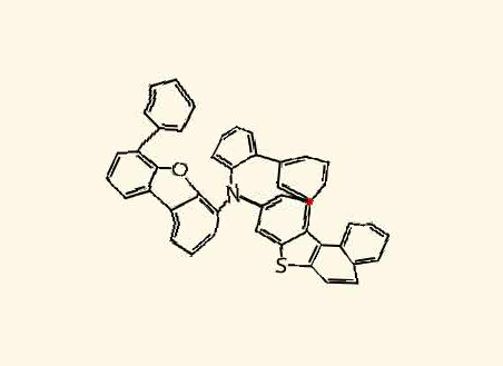 c1ccc(-c2ccccc2N(c2ccc3c(c2)sc2ccc4ccccc4c23)c2cccc3c2oc2c(-c4ccccc4)cccc23)cc1